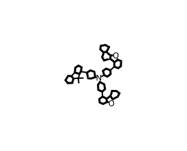 CC1(C)c2ccccc2-c2cccc(-c3ccc(N(c4ccc(-c5cccc6oc7ccccc7c56)cc4)c4ccc(-c5cccc6oc7c8ccccc8ccc7c56)cc4)cc3)c21